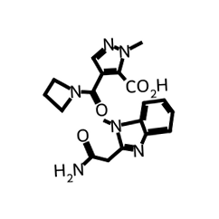 Cn1c(CC(N)=O)nc2ccccc21.Cn1ncc(C(=O)N2CCC2)c1C(=O)O